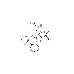 O=C(O)CC(O)(CC(=O)O)C(=O)O.c1csc(C2CCCCC2)c1